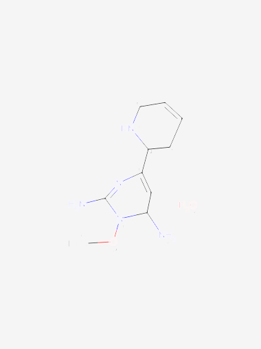 NC1=NC(C2CC=CCN2)=CC(N)N1OS(=O)(=O)O.O